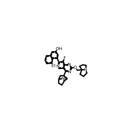 CCc1cccc2cc(O)cc(-c3ncc4c(C5CC6CCC(C5)N6)nc(OCC56CCCN5CCC6)nc4c3F)c12